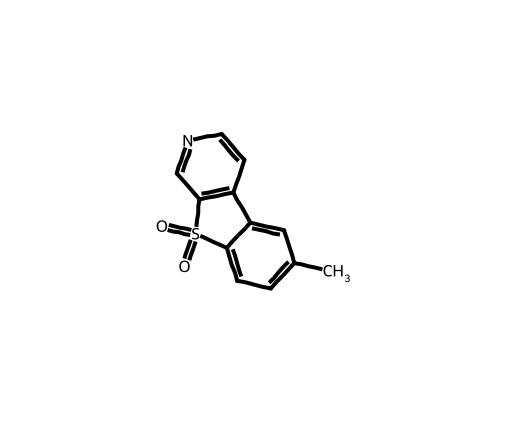 Cc1ccc2c(c1)-c1ccncc1S2(=O)=O